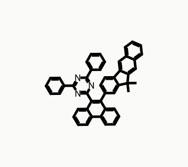 CC1(C)c2cc(-c3c(-c4nc(-c5ccccc5)nc(-c5ccccc5)n4)c4ccccc4c4ccccc34)ccc2-c2cc3ccccc3cc21